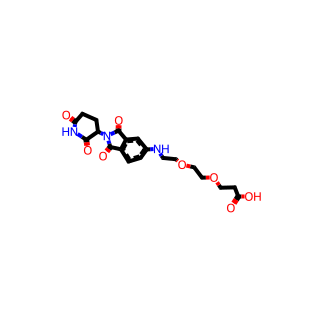 O=C(O)CCOCCOCCNc1ccc2c(c1)C(=O)N(C1CCC(=O)NC1=O)C2=O